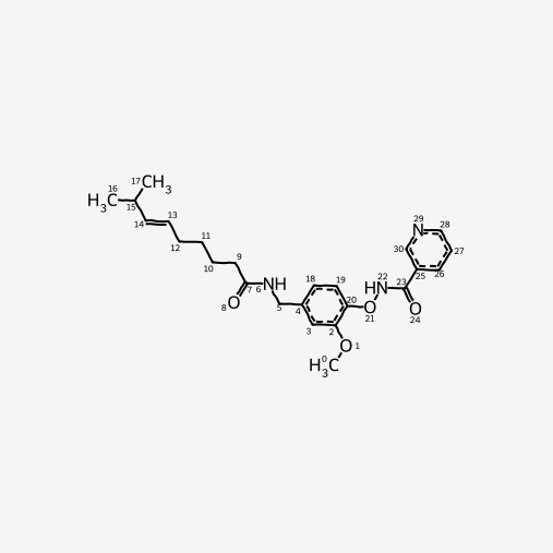 COc1cc(CNC(=O)CCCC/C=C/C(C)C)ccc1ONC(=O)c1cccnc1